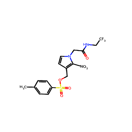 Cc1ccc(S(=O)(=O)OCc2ccn(CC(=O)NCC(F)(F)F)c2[N+](=O)[O-])cc1